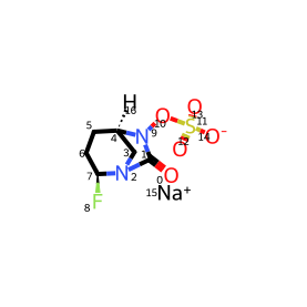 O=C1N2C[C@@H](CC[C@@H]2F)N1OS(=O)(=O)[O-].[Na+]